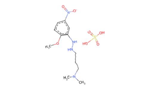 COc1ccc([N+](=O)[O-])cc1NNCCCN(C)C.O=S(=O)(O)O